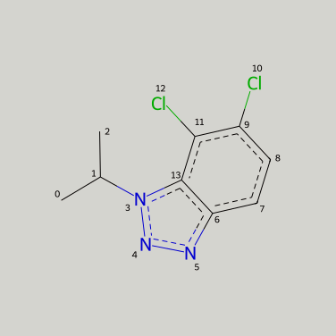 CC(C)n1nnc2ccc(Cl)c(Cl)c21